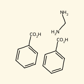 NCN.O=C(O)c1ccccc1.O=C(O)c1ccccc1